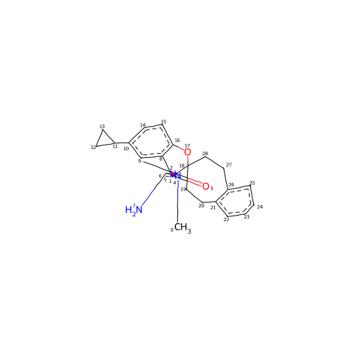 CN1C(=O)C2(N=C1N)c1cc(C3CC3)ccc1OC21CCc2ccccc2CC1